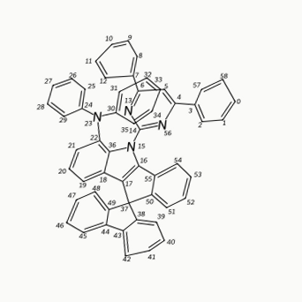 c1ccc(-c2cc(-c3ccccc3)nc(-n3c4c(c5cccc(N(c6ccccc6)c6ccccc6)c53)C3(c5ccccc5-c5ccccc53)c3ccccc3-4)n2)cc1